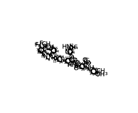 COc1cc(CN2CCN(C3CC4(CCN(c5ccc(C(=O)NS(=O)(=O)c6ccc(NC[C@H]7CC[C@](C)(O)CC7)c([N+](=O)[O-])c6)c(Oc6cnc7[nH]cc(F)c7c6)c5)CC4)C3)[C@H](c3ccccc3C(C)C)C2)ccc1C(F)F